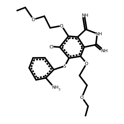 CCOCCOc1c(Cl)c(Sc2ccccc2N)c(OCCOCC)c2c1C(=N)NC2=N